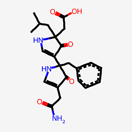 CC(C)CC1(CC(=O)O)NC=C(C2(Cc3ccccc3)NC=C(CC(N)=O)C2=O)C1=O